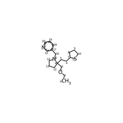 CCOCC1(CCC2CCCS2)CCCN1Cc1cccnc1